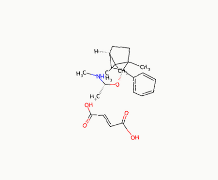 CN[C@@H](C)O[C@]1(c2ccccc2)C[C@H]2CCC1(C)C2(C)C.O=C(O)/C=C/C(=O)O